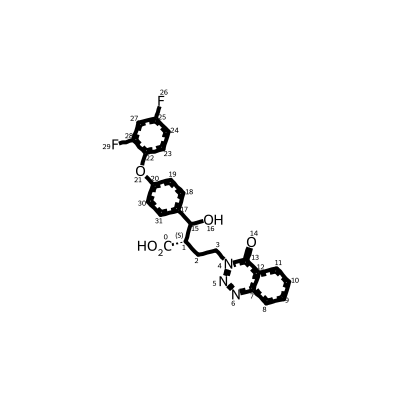 O=C(O)[C@@H](CCn1nnc2ccccc2c1=O)C(O)c1ccc(Oc2ccc(F)cc2F)cc1